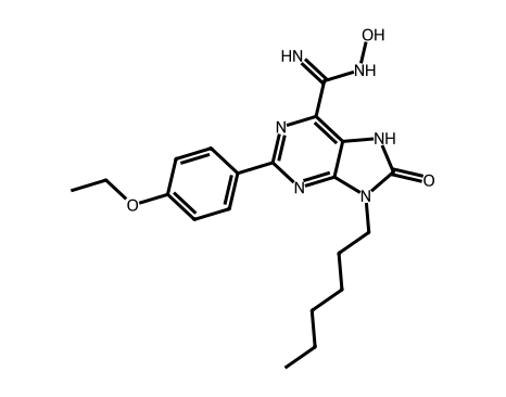 CCCCCCn1c(=O)[nH]c2c(C(=N)NO)nc(-c3ccc(OCC)cc3)nc21